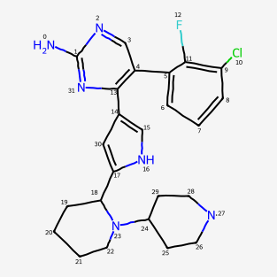 Nc1ncc(-c2cccc(Cl)c2F)c(-c2c[nH]c(C3CCCCN3C3CC[N]CC3)c2)n1